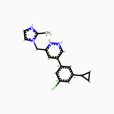 Cc1nccn1Cc1cc(-c2cc(F)cc(C3CC3)c2)cnn1